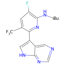 CCC(C)Nc1nc(-c2c[nH]c3ncncc23)c(C(F)(F)F)cc1F